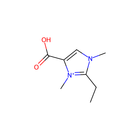 CCc1n(C)cc(C(=O)O)[n+]1C